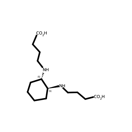 O=C(O)CCCN[C@H]1CCCC[C@@H]1NCCCC(=O)O